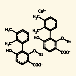 CCOc1c(C(=O)[O-])ccc(O)c1-c1cccc(C)c1C.CCOc1c(C(=O)[O-])ccc(O)c1-c1cccc(C)c1C.[Ca+2]